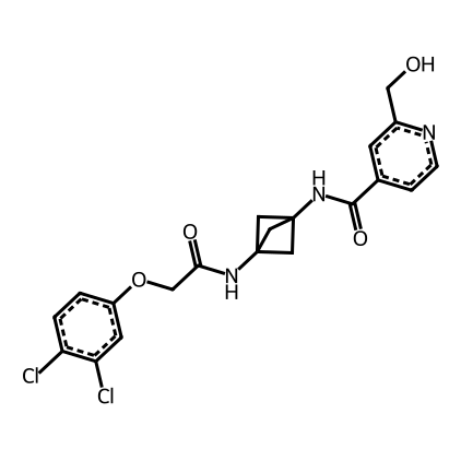 O=C(COc1ccc(Cl)c(Cl)c1)NC12CC(NC(=O)c3ccnc(CO)c3)(C1)C2